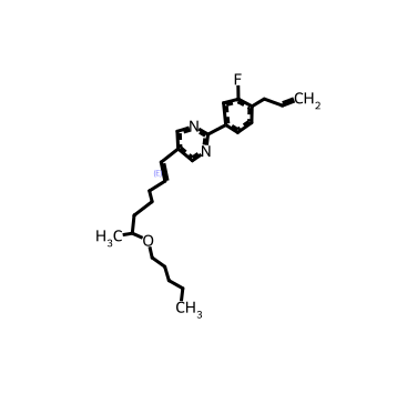 C=CCc1ccc(-c2ncc(/C=C/CCCC(C)OCCCCC)cn2)cc1F